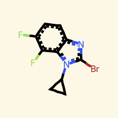 Fc1ccc2nc(Br)n(C3CC3)c2c1F